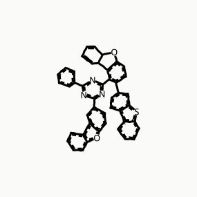 C1=CC2Oc3ccc(-c4ccc5c(c4)sc4ccccc45)c(-c4nc(-c5ccccc5)nc(-c5ccc6oc7ccccc7c6c5)n4)c3C2C=C1